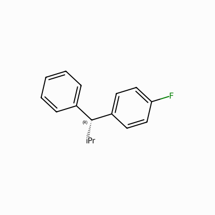 CC(C)[C@H](c1ccccc1)c1ccc(F)cc1